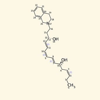 CC/C=C\C[C@H](O)/C=C/C=C\C=C\[C@@H](O)CCN1CCc2ccccc2C1